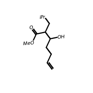 C=CCCC(O)C(CC(C)C)C(=O)OC